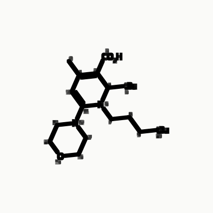 CC1=C(C(=O)O)C(C(C)(C)C)N(CCCC(C)(C)C)C(N2CCOCC2)=C1